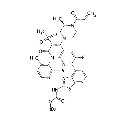 C=CC(=O)N1CCN(c2c(S(C)(=O)=O)c(=O)n(-c3c(C)ccnc3C(C)C)c3nc(-c4cccc5sc(NC(=O)OC(C)(C)C)nc45)c(F)cc23)C[C@H]1C